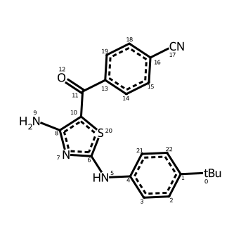 CC(C)(C)c1ccc(Nc2nc(N)c(C(=O)c3ccc(C#N)cc3)s2)cc1